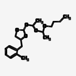 CCCCOC(C)OC(C)OC1OCC(Cc2ccccc2C)O1